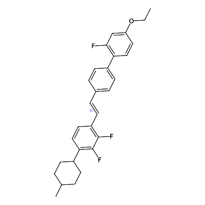 CCOc1ccc(-c2ccc(/C=C/c3ccc(C4CCC(C)CC4)c(F)c3F)cc2)c(F)c1